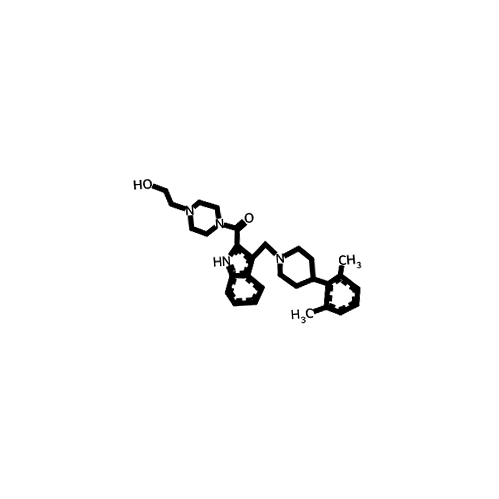 Cc1cccc(C)c1C1CCN(Cc2c(C(=O)N3CCN(CCO)CC3)[nH]c3ccccc23)CC1